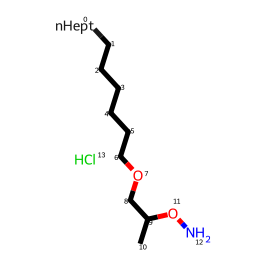 CCCCCCCCCCCCCOCC(C)ON.Cl